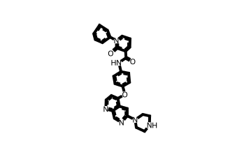 O=C(Nc1ccc(Oc2ccnc3cnc(N4CCNCC4)cc23)cc1)c1cccn(-c2ccccc2)c1=O